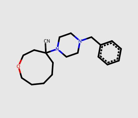 N#CC1(N2CCN(Cc3ccccc3)CC2)CCCCCOCC1